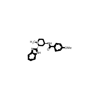 COc1ccc(C(=O)N[C@@H]2CCN(C)[C@@H](c3nc4ccccc4[nH]3)C2)cc1